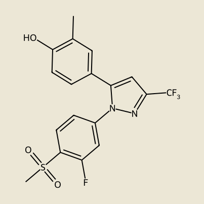 Cc1cc(-c2cc(C(F)(F)F)nn2-c2ccc(S(C)(=O)=O)c(F)c2)ccc1O